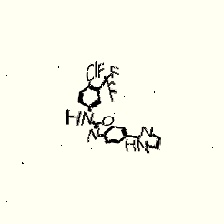 FC(F)(F)c1cc(Nc2nc3ccc(C4=NCCN4)cc3o2)ccc1Cl